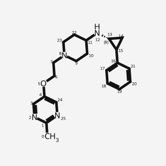 Cc1ncc(OCCN2CCC(N[C@@H]3CC3c3ccccc3)CC2)cn1